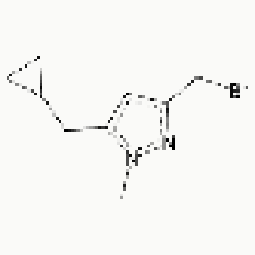 Cn1nc(CBr)cc1CC1CC1